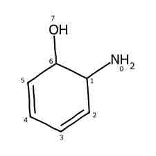 NC1C=CC=CC1O